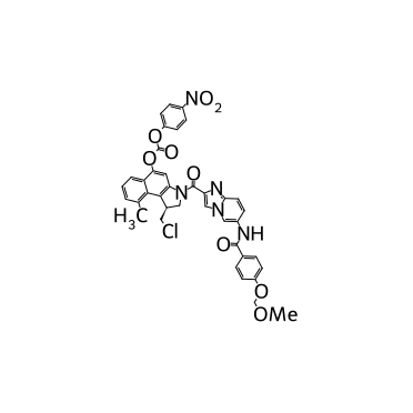 COCOc1ccc(C(=O)Nc2ccc3nc(C(=O)N4C[C@@H](CCl)c5c4cc(OC(=O)Oc4ccc([N+](=O)[O-])cc4)c4cccc(C)c54)cn3c2)cc1